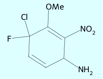 COC1=C([N+](=O)[O-])C(N)C=CC1(F)Cl